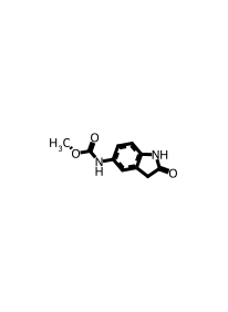 COC(=O)Nc1ccc2c(c1)CC(=O)N2